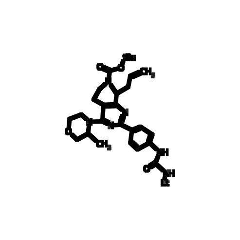 C=CCC1c2nc(-c3ccc(NC(=O)NCC)cc3)nc(N3CCOCC3C)c2CCN1C(=O)OC(C)(C)C